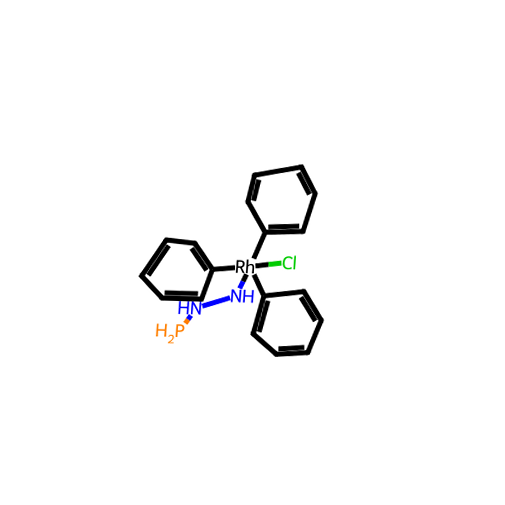 PN[NH][Rh]([Cl])([c]1ccccc1)([c]1ccccc1)[c]1ccccc1